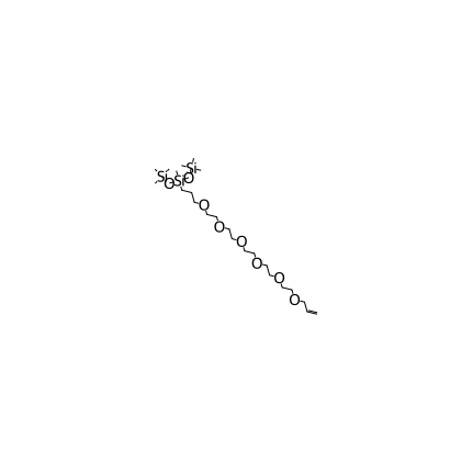 C=CCOCCOCCOCCOCCOCCOCCC[Si](C)(O[Si](C)(C)C)O[Si](C)(C)C